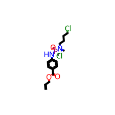 C=CCOC(=O)c1ccc(NP(=O)(Cl)N(C)CCCCCl)cc1